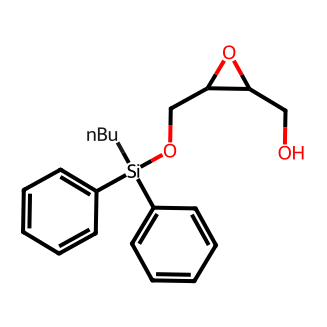 CCCC[Si](OCC1OC1CO)(c1ccccc1)c1ccccc1